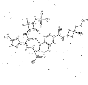 COCC[C@]1(N)C[C@H](NC(=N)c2ccc3c(c2)CC[C@H]([C@](C)(O/N=C(\C(=O)N[C@@H]2C(=O)N(OS(=O)(=O)O)C2(C)C)c2csc(N)n2)C(=O)O)O3)C1